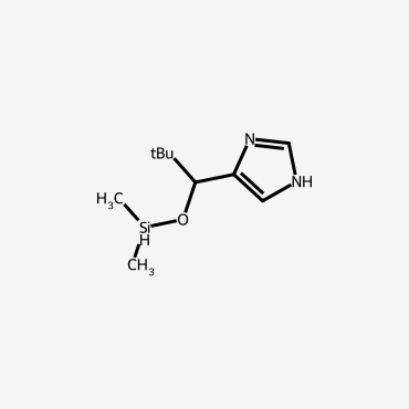 C[SiH](C)OC(c1c[nH]cn1)C(C)(C)C